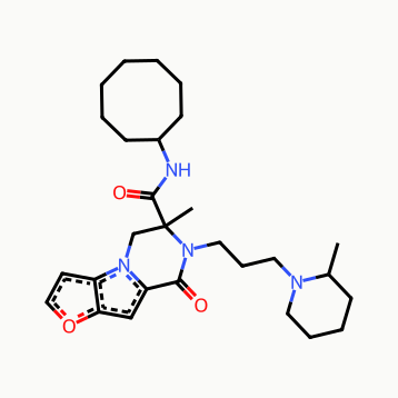 CC1CCCCN1CCCN1C(=O)c2cc3occc3n2CC1(C)C(=O)NC1CCCCCCC1